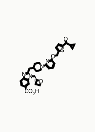 O=C(O)c1ccc2nc(CC3CCN(c4cccc(OCc5ccc(C(=O)C6CC6)s5)n4)CC3)n(C[C@@H]3CCO3)c2c1